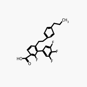 CCCc1ccc(CCc2ccc(C(=O)O)c(F)c2-c2cc(F)c(F)c(F)c2)cc1